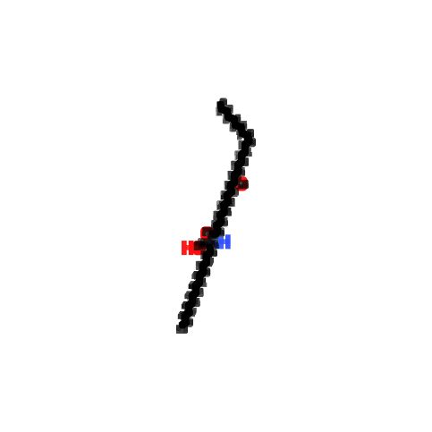 CCCCCCCC/C=C\CCCCCCCC(=O)CCCCCCCCCCC(=O)N[C@@H](CO)CCCCCCCCCCCCCCCC